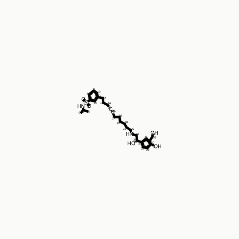 CC(C)NS(=O)(=O)c1cccc(CCCCOCCCCCCNC[C@@H](O)c2ccc(O)c(CO)c2)c1